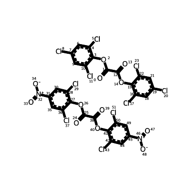 O=C(Oc1c(Cl)cc(Cl)cc1Cl)C(=O)Oc1c(Cl)cc(Cl)cc1Cl.O=C(Oc1c(Cl)cc([N+](=O)[O-])cc1Cl)C(=O)Oc1c(Cl)cc([N+](=O)[O-])cc1Cl